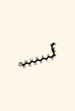 C=CC#C/C=C\CCCCCCCCCC=O